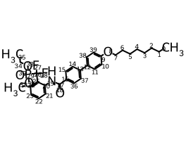 CCCCCCCCOc1ccc(-c2ccc(C(=O)Nc3ccccc3C(F)(F)P(=O)(OC)OCC)cc2)cc1